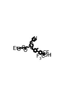 CCOCCOC(=O)CC[C@H]1CN(Cc2ccncc2)CCN1Cc1ccc(-c2ccc(C(O)(C(F)(F)F)C(F)(F)F)cc2)c(C)c1